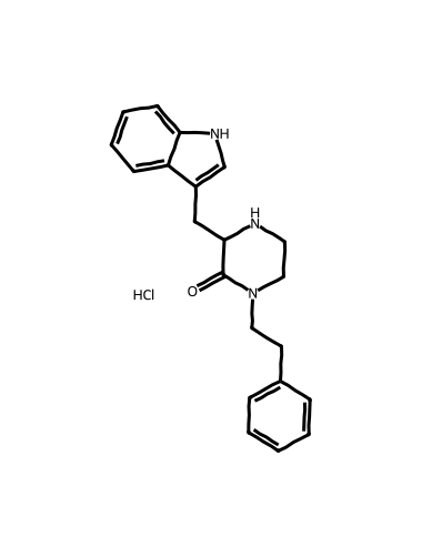 Cl.O=C1C(Cc2c[nH]c3ccccc23)NCCN1CCc1ccccc1